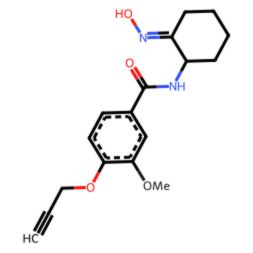 C#CCOc1ccc(C(=O)NC2CCCCC2=NO)cc1OC